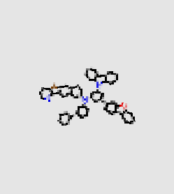 c1ccc(-c2cccc(N(c3cc(-c4ccc5c(c4)oc4ccccc45)cc(-n4c5ccccc5c5ccccc54)c3)c3ccc4cc5sc6cccnc6c5cc4c3)c2)cc1